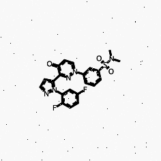 CN(C)S(=O)(=O)c1cccc(-n2ccc(=O)c(-c3ccnn3-c3cc(F)ccc3F)n2)c1